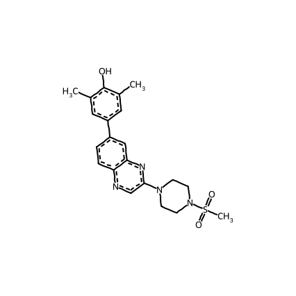 Cc1cc(-c2ccc3ncc(N4CCN(S(C)(=O)=O)CC4)nc3c2)cc(C)c1O